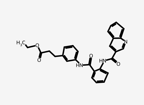 CCOC(=O)CCc1cccc(NC(=O)c2ccccc2NC(=O)c2cnc3ccccc3c2)c1